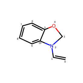 C=CN1COc2ccccc21